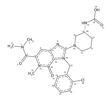 CN(C)C(=O)c1cc2nc(N3CCC[C@@H](NC(=O)O)C3)n(Cc3ccccc3Cl)c2c(=O)n1C